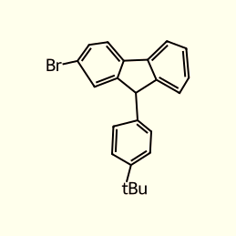 CC(C)(C)c1ccc(C2c3ccccc3-c3ccc(Br)cc32)cc1